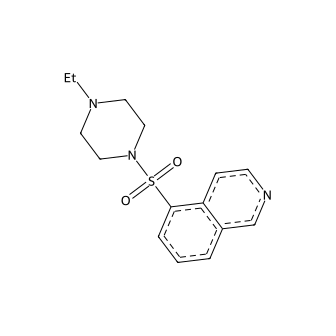 CCN1CCN(S(=O)(=O)c2cccc3cnccc23)CC1